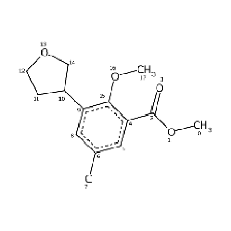 COC(=O)c1cc(Cl)cc(C2CCOC2)c1OC